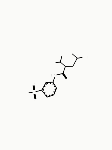 CC(C)CC(C(=O)Nc1cccc(S(=O)(=O)O)c1)C(C)C